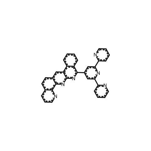 c1ccc(-c2cc(-c3nc4nc5c(ccc6cccnc65)cc4c4ccccc34)cc(-c3ccccn3)n2)nc1